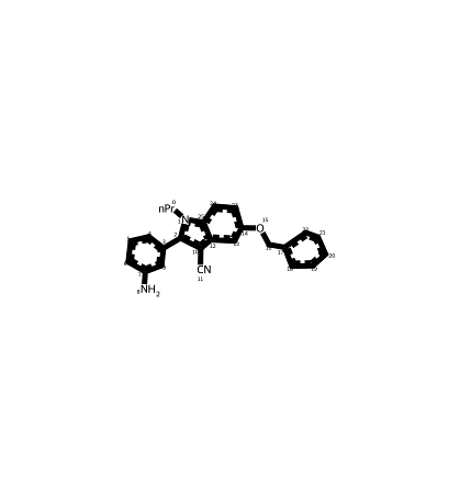 CCCn1c(-c2cccc(N)c2)c(C#N)c2cc(OCc3ccccc3)ccc21